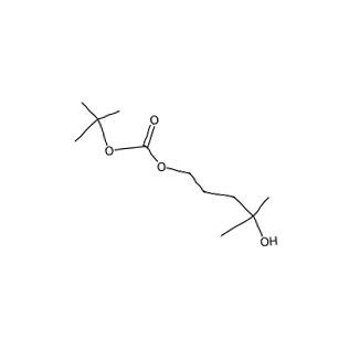 CC(C)(O)CCCOC(=O)OC(C)(C)C